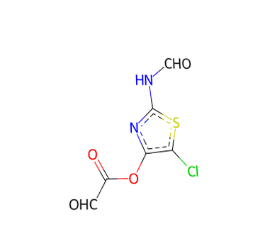 O=CNc1nc(OC(=O)C=O)c(Cl)s1